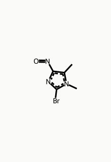 Cc1c(N=O)nc(Br)n1C